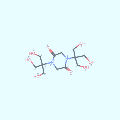 O=C1CN(C(CO)(CO)CO)C(=O)CN1C(CO)(CO)CO